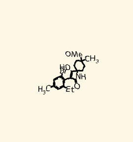 CCc1cc(C)cc(Br)c1C1=C(O)C2(CCC(C)(OC)CC2)NC1=O